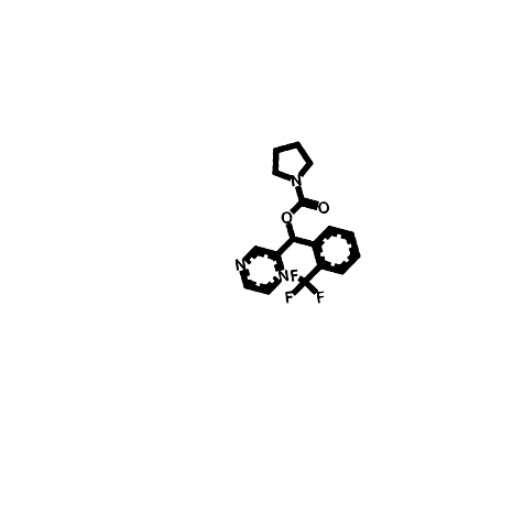 O=C(OC(c1cnccn1)c1ccccc1C(F)(F)F)N1CCCC1